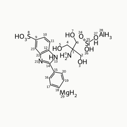 NC(CO)(CO)CO.O=S(=O)(O)c1ccc2[nH]c(-c3ccccc3)nc2c1.O=[Si](O)O.[AlH3].[MgH2]